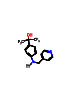 CCN(Cc1ccncc1)c1ccc(C(O)(C(F)(F)F)C(F)(F)F)cc1